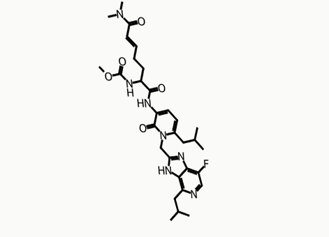 COC(=O)NC(CC/C=C/C(=O)N(C)C)C(=O)Nc1ccc(CC(C)C)n(Cc2nc3c(F)cnc(CC(C)C)c3[nH]2)c1=O